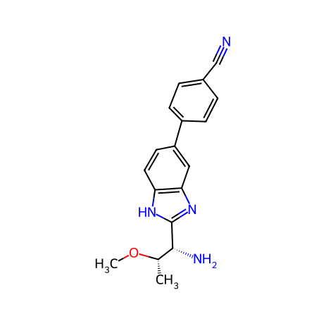 CO[C@@H](C)[C@@H](N)c1nc2cc(-c3ccc(C#N)cc3)ccc2[nH]1